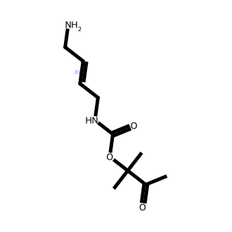 CC(=O)C(C)(C)OC(=O)NC/C=C/CN